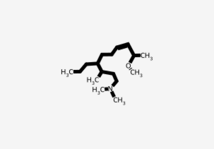 CCCC(CC/C=C\C(C)OC)C(C)CCN(C)C